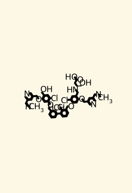 C/N=C\c1cncc(COc2cc(OCc3cccc(-c4cccc(COc5cc(OCc6cncc(/C=N\C)c6)c(CN[C@H](CO)CC(=O)O)cc5Cl)c4C)c3C)c(Cl)cc2CO)c1